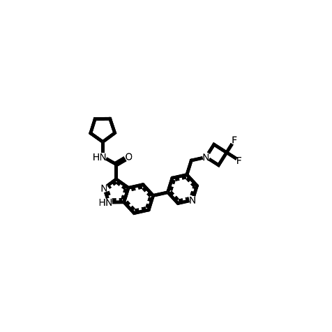 O=C(NC1CCCC1)c1n[nH]c2ccc(-c3cncc(CN4CC(F)(F)C4)c3)cc12